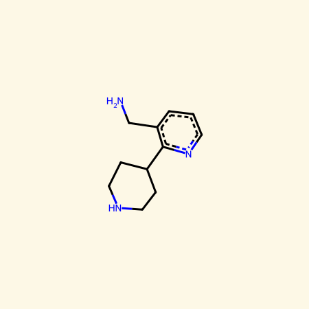 NCc1cccnc1C1CCNCC1